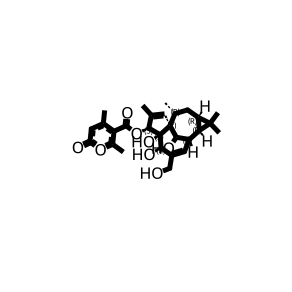 CC1=C[C@]23C(O)[C@@H](C=C(CO)[C@@H](O)[C@]2(O)[C@H]1OC(=O)c1c(C)cc(=O)oc1C)[C@H]1[C@@H](C[C@H]3C)C1(C)C